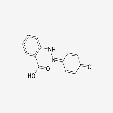 O=C1C=CC(=NNc2ccccc2C(=O)O)C=C1